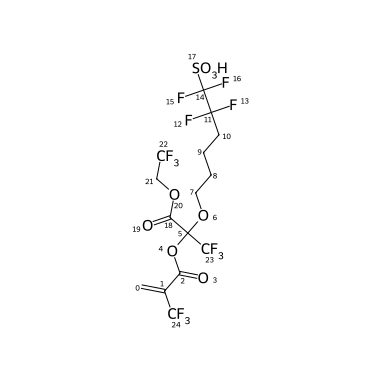 C=C(C(=O)OC(OCCCCC(F)(F)C(F)(F)S(=O)(=O)O)(C(=O)OCC(F)(F)F)C(F)(F)F)C(F)(F)F